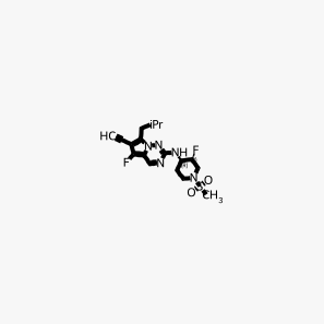 C#Cc1c(F)c2cnc(N[C@@H]3CCN(S(C)(=O)=O)C[C@H]3F)nn2c1CC(C)C